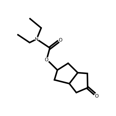 CCN(CC)C(=O)OC1CC2CC(=O)CC2C1